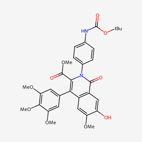 COC(=O)c1c(-c2cc(OC)c(OC)c(OC)c2)c2cc(OC)c(O)cc2c(=O)n1-c1ccc(NC(=O)OC(C)(C)C)cc1